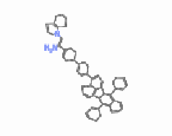 N/C(=C\N1CC=CC2=C1C=CCC2)C1=CC=C(C2=CC=C(c3ccc4c5c(cccc35)C3C(C5=CC=CCC5)=c5ccccc5=C(C5=CC=CCC5)C43)CC2)CC1